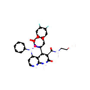 O=C(NN(c1ccccc1)c1ccnc2[nH]c(=O)c(C(=O)NCCO)c(-c3ccccc3)c12)c1ccc(F)c(F)c1